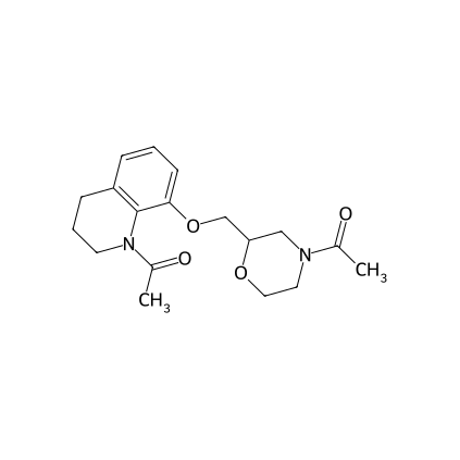 CC(=O)N1CCOC(COc2cccc3c2N(C(C)=O)CCC3)C1